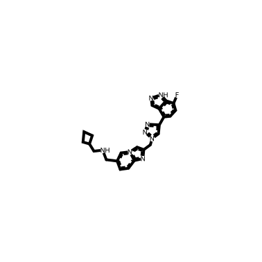 Fc1ccc(-c2cn(Cc3cn4cc(CNCC5CCC5)ccc4n3)nn2)c2cn[nH]c12